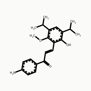 COc1c(C(C)C)cc(C(C)C)c(O)c1C=CC(=O)c1ccc(N)cc1